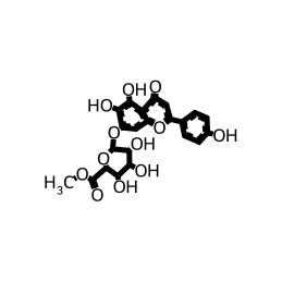 COC(=O)C1OC(Oc2cc3oc(-c4ccc(O)cc4)cc(=O)c3c(O)c2O)C(O)C(O)C1O